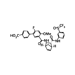 COc1cc(F)c(-c2ccc(C(=O)O)cc2)cc1C(=O)N[C@@H]1[C@H](C(=O)Nc2cccc([S+]([O-])C(F)(F)F)c2)[C@H]2C=C[C@@H]1C2